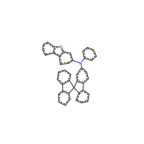 c1ccc(N(c2ccc3c(c2)C2(c4ccccc4-c4ccccc42)c2ccccc2-3)c2ccc3c(c2)sc2ccccc23)cc1